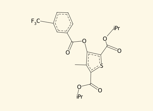 Cc1c(C(=O)OC(C)C)sc(C(=O)OC(C)C)c1OC(=O)c1cccc(C(F)(F)F)c1